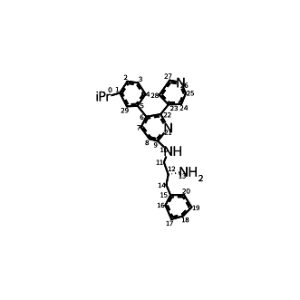 CC(C)c1cccc(-c2ccc(NC[C@H](N)Cc3ccccc3)nc2-c2ccncc2)c1